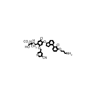 CC(CO)(NCc1cc(Cl)c(O[C@H]2CCc3c(-c4cccc(OCCCN)c4Cl)cccc32)cc1OCc1cncc(C#N)c1)C(=O)O